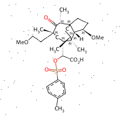 COCC[C@@]1(C)C[C@@H](C(OS(=O)(=O)c2ccc(C)cc2)C(=O)O)[C@@]2(C)[C@H](C)CC[C@]3(CC[C@@H](OC)[C@@H]32)[C@@H](C)C1=O